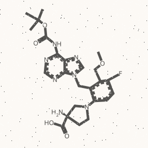 COCc1c(F)ccc(N2CC[C@](N)(C(=O)O)C2)c1Cn1cnc2c(NC(=O)OC(C)(C)C)ncnc21